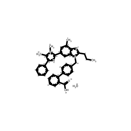 CCCc1nc2c(C)cc(-c3nc(-c4ccccc4)c(C)n3C)cc2n1Cc1ccc(-c2ccccc2C(=O)O)cc1.O